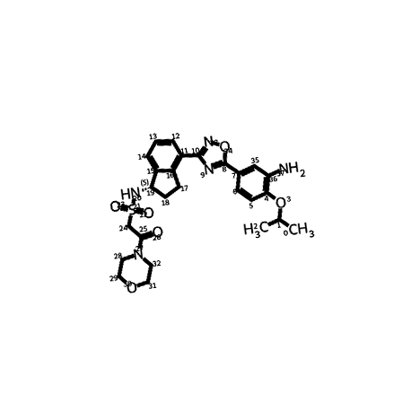 CC(C)Oc1ccc(-c2nc(-c3cccc4c3CC[C@@H]4NS(=O)(=O)CC(=O)N3CCOCC3)no2)cc1N